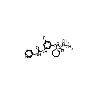 CN(C)S(=O)(=O)[N+]1(Oc2cc(F)cc(NC(=O)Nc3cccnc3)c2)CCCCC1